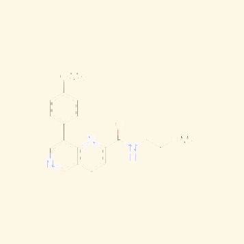 COCCNC(=O)c1ccc2cncc(-c3ccc(OC)cc3)c2n1